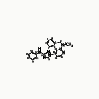 CN(Cc1ccccc1)c1cc(-n2cnc(Nc3ccccc3)n2)ccn1